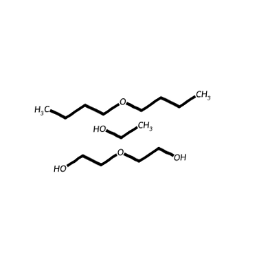 CCCCOCCCC.CCO.OCCOCCO